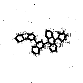 [2H]c1c([2H])c([2H])c(-c2c3ccccc3c(-c3cc(-c4ccc5oc6ccccc6c5c4)c4ccccc4c3)c3ccccc23)c([2H])c1[2H]